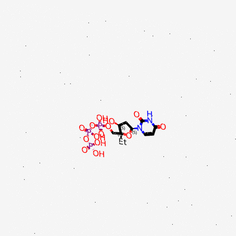 CC[C@]1(COP(=O)(O)OP(=O)(O)OP(=O)(O)O)O[C@H](n2ccc(=O)[nH]c2=O)C[C@@H]1O